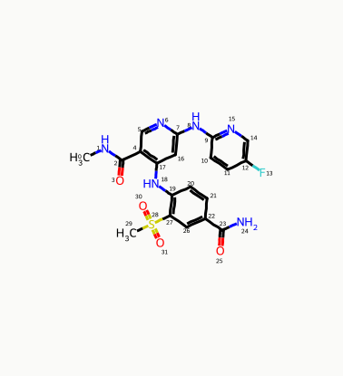 CNC(=O)c1cnc(Nc2ccc(F)cn2)cc1Nc1ccc(C(N)=O)cc1S(C)(=O)=O